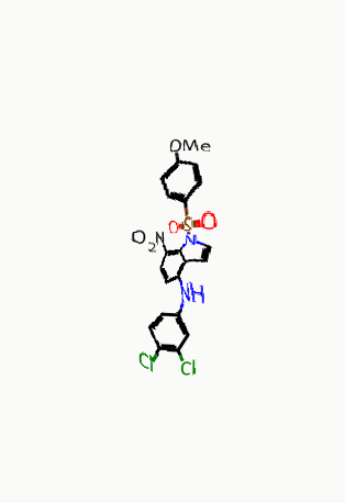 COc1ccc(S(=O)(=O)n2ccc3c(Nc4ccc(Cl)c(Cl)c4)ccc([N+](=O)[O-])c32)cc1